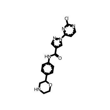 O=C(Nc1ccc(C2CNCCO2)cc1)c1cnn(-c2ccnc(Cl)n2)c1